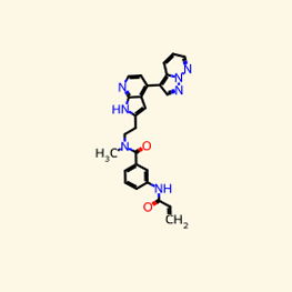 C=CC(=O)Nc1cccc(C(=O)N(C)CCc2cc3c(-c4cnn5ncccc45)ccnc3[nH]2)c1